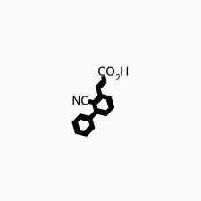 N#Cc1c(/C=C/C(=O)O)cccc1-c1ccccc1